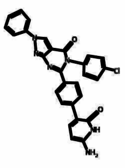 Nc1ccc(-c2ccc(-c3nc4nn(-c5ccccc5)cc4c(=O)n3-c3ccc(Cl)cc3)cc2)c(=O)[nH]1